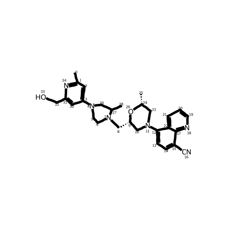 Cc1cc(N2CCN(C[C@H]3CN(c4ccc(C#N)c5ncccc45)C[C@@H](C)O3)C(C)C2)cc(CO)n1